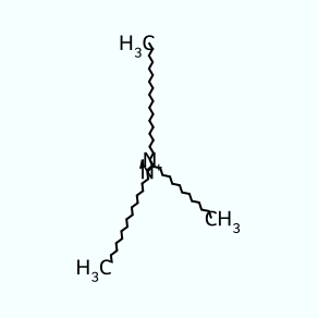 CCCCCCCCCCCCCCCCCCn1cc[n+](CCCCCCCCCCCCCCCC)c1CCCCCCCCCCCC